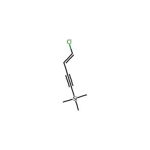 C[Si](C)(C)C#C/C=C/Cl